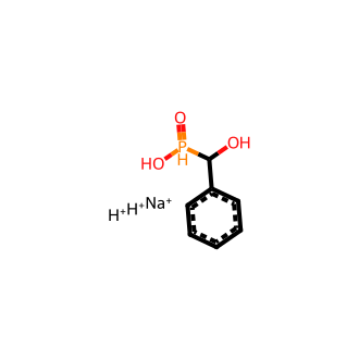 O=[PH](O)C(O)c1ccccc1.[H+].[H+].[Na+]